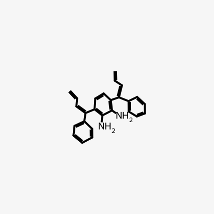 C=C/C=C(/c1ccccc1)c1ccc(/C(=C\C=C)c2ccccc2)c(N)c1N